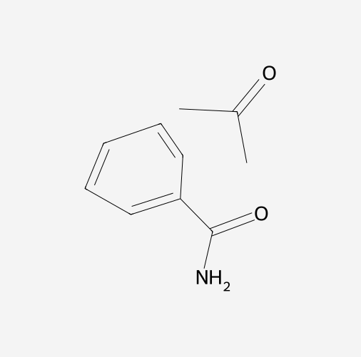 CC(C)=O.NC(=O)c1ccccc1